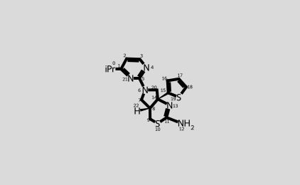 CC(C)c1ccnc(N2C[C@H]3CSC(N)=N[C@@]3(c3cccs3)C2)n1